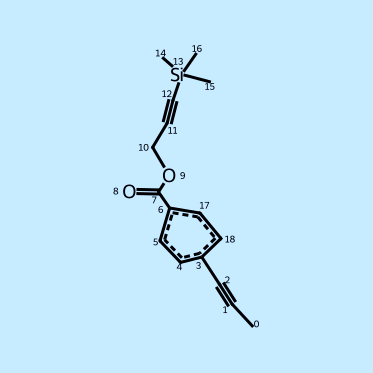 CC#Cc1ccc(C(=O)OCC#C[Si](C)(C)C)cc1